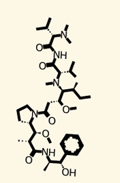 CC[C@H](C)[C@@H]([C@@H](CC(=O)N1CCC[C@H]1[C@H](OC)[C@@H](C)C(=O)N[C@H](C)[C@@H](O)c1ccccc1)OC)N(C)[C@H](C(=O)NC(=O)[C@H](C(C)C)N(C)C)C(C)C